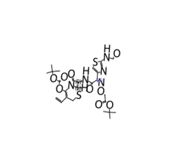 C=CC1=C(OC(=O)OC(C)(C)C)N2C(=O)[C@@H](NC(=O)/C(=N\OCC(=O)OC(C)(C)C)c3csc(NC=O)n3)[C@@H]2SC1